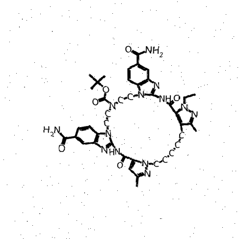 CCn1nc(C)c2c1C(=O)Nc1nc3cc(C(N)=O)ccc3n1CCN(C(=O)OC(C)(C)C)CCn1c(nc3cc(C(N)=O)ccc31)NC(=O)c1cc(C)nn1CCCCC2